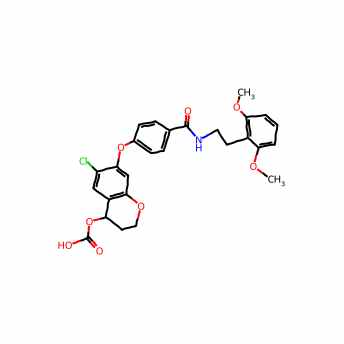 COc1cccc(OC)c1CCNC(=O)c1ccc(Oc2cc3c(cc2Cl)C(OC(=O)O)CCO3)cc1